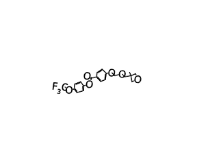 CC1(COCOc2ccc(C(=O)Oc3ccc(OC(F)(F)F)cc3)cc2)COC1